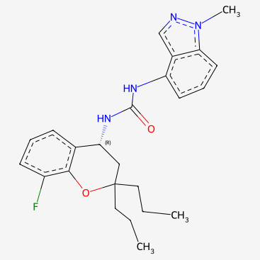 CCCC1(CCC)C[C@@H](NC(=O)Nc2cccc3c2cnn3C)c2cccc(F)c2O1